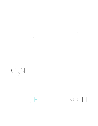 O=[N+]([O-])c1ccccc1C(F)S(=O)(=O)O